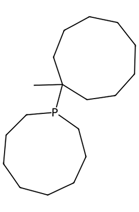 CC1(P2CCCCCCCC2)CCCCCCCC1